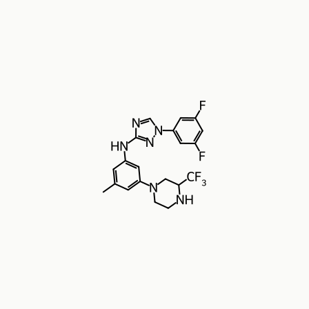 Cc1cc(Nc2ncn(-c3cc(F)cc(F)c3)n2)cc(N2CCNC(C(F)(F)F)C2)c1